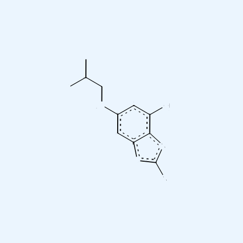 CC(C)CSc1cc(O)c2nc(N)sc2c1